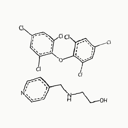 Clc1cc(Cl)c(Oc2c(Cl)cc(Cl)cc2Cl)c(Cl)c1.OCCNCc1ccncc1